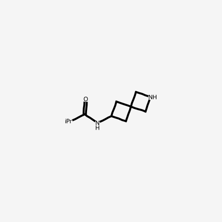 CC(C)C(=O)NC1CC2(CNC2)C1